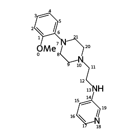 COc1ccccc1N1CCN(CCNc2cccnc2)CC1